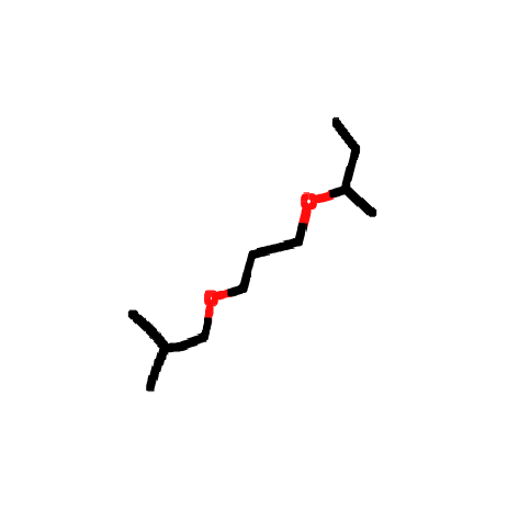 CCC(C)OCCCOCC(C)C